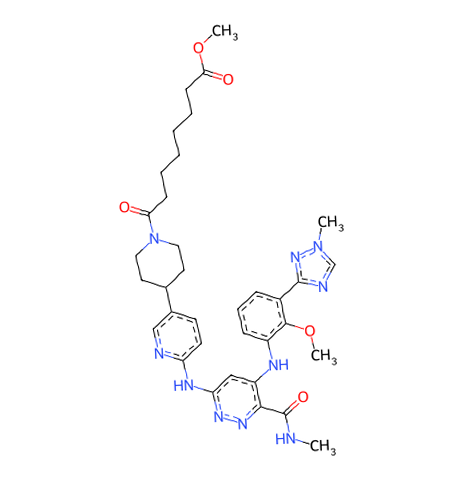 CNC(=O)c1nnc(Nc2ccc(C3CCN(C(=O)CCCCCCC(=O)OC)CC3)cn2)cc1Nc1cccc(-c2ncn(C)n2)c1OC